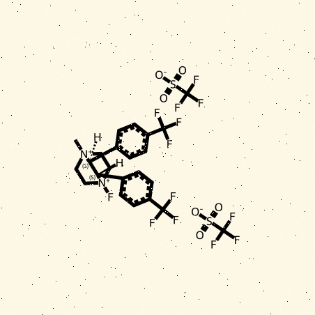 C[N+]12CC[N+](F)(CC1)[C@@H](c1ccc(C(F)(F)F)cc1)[C@@H]2c1ccc(C(F)(F)F)cc1.O=S(=O)([O-])C(F)(F)F.O=S(=O)([O-])C(F)(F)F